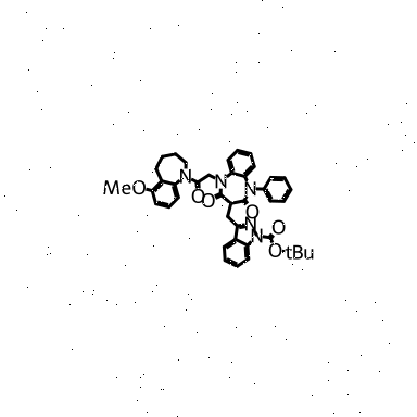 COc1cccc2c1CCCCN2C(=O)CN1C(=O)C(Cc2nn(C(=O)OC(C)(C)C)c3ccccc23)C(=O)N(c2ccccc2)c2ccccc21